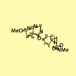 CNS(=O)(=O)Nc1ccc(Oc2ncnc3nc(OC)ccc23)cc1